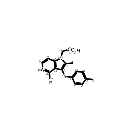 Cc1ccc(Sc2c(C)n(CC(=O)O)c3ccnc(Cl)c23)cc1